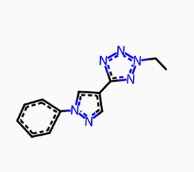 CCn1nnc(-c2cnn(-c3ccccc3)c2)n1